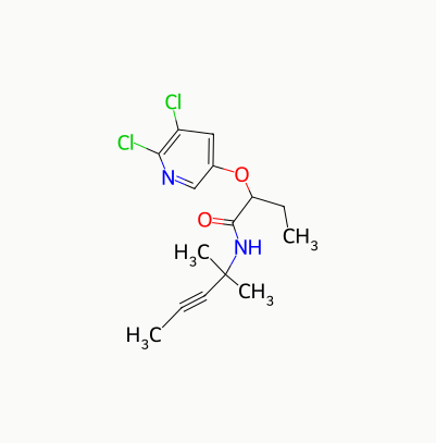 CC#CC(C)(C)NC(=O)C(CC)Oc1cnc(Cl)c(Cl)c1